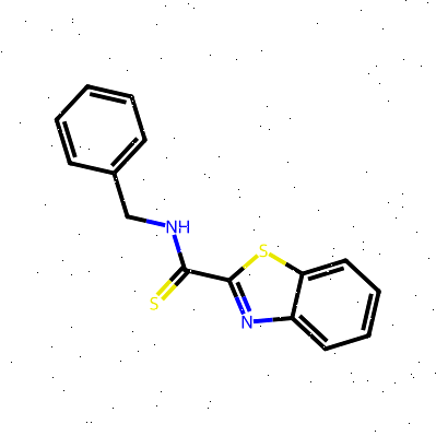 S=C(NCc1ccccc1)c1nc2ccccc2s1